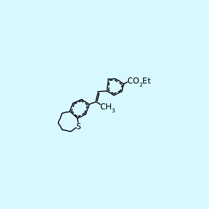 CCOC(=O)c1ccc(C=C(C)c2ccc3c(c2)SCCCC3)cc1